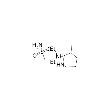 CC1CCCNC1.CCNCC.CS(N)(=O)=O